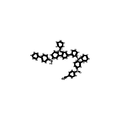 N#Cc1ccc(N(I)c2ccc3c(c2)c2ccccc2n3-c2cccc(-c3ccc4c5cc(N(I)c6ccc(-c7ccccc7)cc6)ccc5n(-c5ccccc5)c4c3)c2)cc1